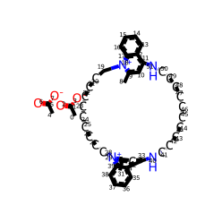 CC(=O)[O-].CC(=O)[O-].Cc1cc2c3ccccc3[n+]1CCCCCCCCCC[n+]1c(C)cc(c3ccccc31)NCCCCCCCCCCN2